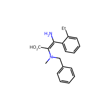 CCc1ccccc1C(N)=C(C(=O)O)N(C)Cc1ccccc1